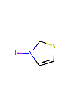 IN1C=CSC1